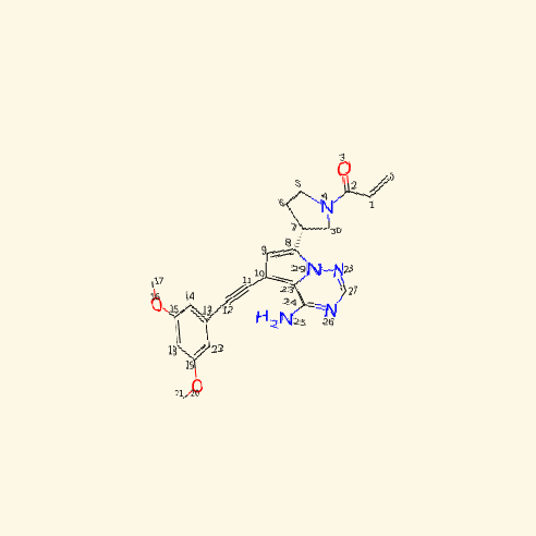 C=CC(=O)N1CC[C@@H](c2cc(C#Cc3cc(OC)cc(OC)c3)c3c(N)ncnn23)C1